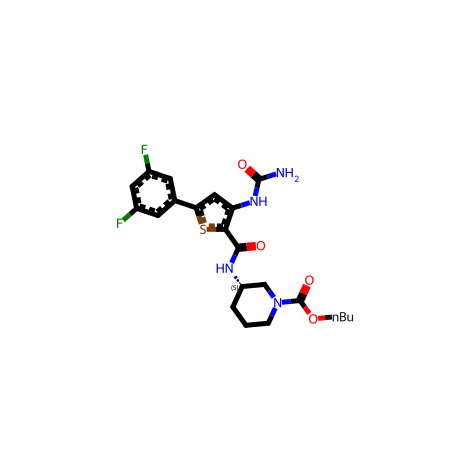 CCCCOC(=O)N1CCC[C@H](NC(=O)c2sc(-c3cc(F)cc(F)c3)cc2NC(N)=O)C1